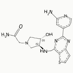 NC(=O)CN1C[C@H](Nc2nc(-c3ccnc(N)c3)nc3ccsc23)[C@@H](O)C1